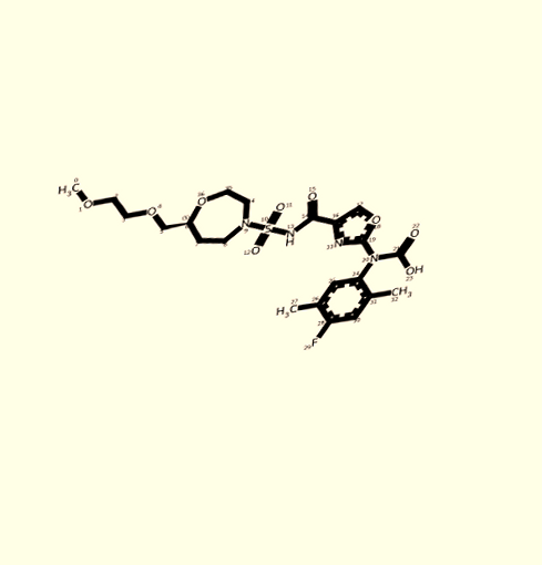 COCCOC[C@@H]1CCN(S(=O)(=O)NC(=O)c2coc(N(C(=O)O)c3cc(C)c(F)cc3C)n2)CCO1